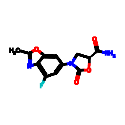 Cc1nc2c(F)cc(N3C[C@H](C(N)=O)OC3=O)cc2o1